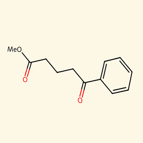 COC(=O)CCCC(=O)c1ccccc1